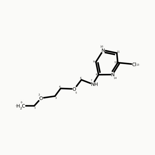 [CH2]COCCOCNc1cncc(Cl)n1